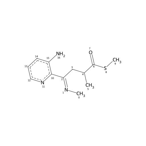 C/N=C(\CC(C)C(=O)SC)c1ncccc1N